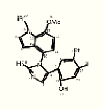 CCc1cc(-c2cnc(S)n2-c2ccc(OC)c3c2ccn3C(C)C)c(O)cc1C